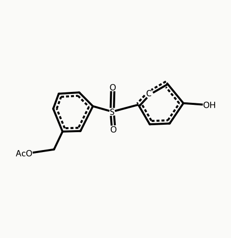 CC(=O)OCc1cccc(S(=O)(=O)c2ccc(O)cc2)c1